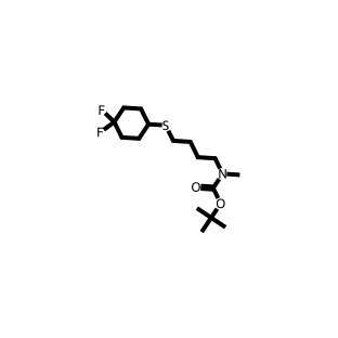 CN(CCCCSC1CCC(F)(F)CC1)C(=O)OC(C)(C)C